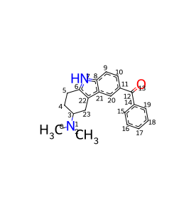 CN(C)C1CCc2[nH]c3ccc(C(=O)c4ccccc4)cc3c2C1